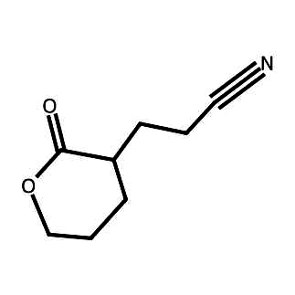 N#CCCC1CCCOC1=O